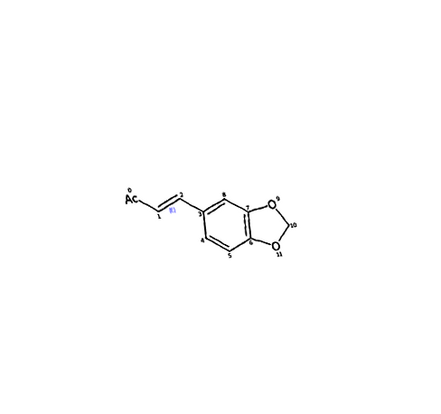 CC(=O)/C=C/c1ccc2c(c1)OCO2